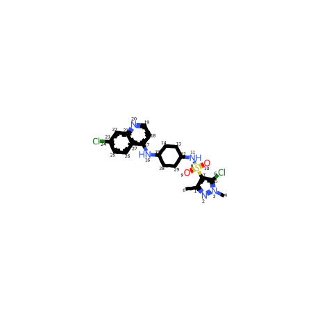 Cc1nn(C)c(Cl)c1S(=O)(=O)NC1CCC(Nc2ccnc3cc(Cl)ccc23)CC1